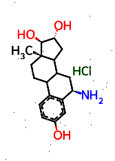 C[C@]12CCC3c4ccc(O)cc4[C@H](N)CC3C1C[C@@H](O)[C@@H]2O.Cl